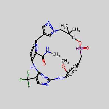 CNC(=O)c1nc2ccc1Nc1nc(ncc1C(F)(F)F)Nc1ccc(cc1OC)C[PH](=O)OCC(C)(C)Cn1cc-2cn1